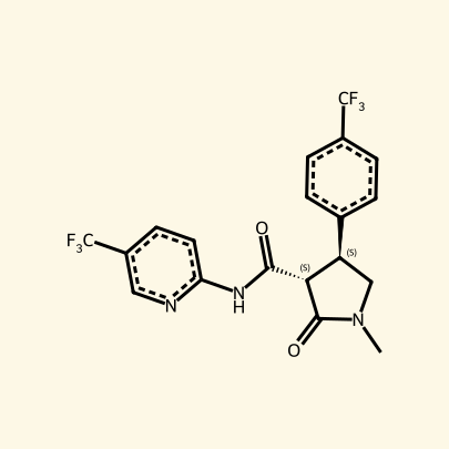 CN1C[C@H](c2ccc(C(F)(F)F)cc2)[C@@H](C(=O)Nc2ccc(C(F)(F)F)cn2)C1=O